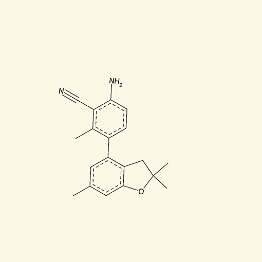 Cc1cc2c(c(-c3ccc(N)c(C#N)c3C)c1)CC(C)(C)O2